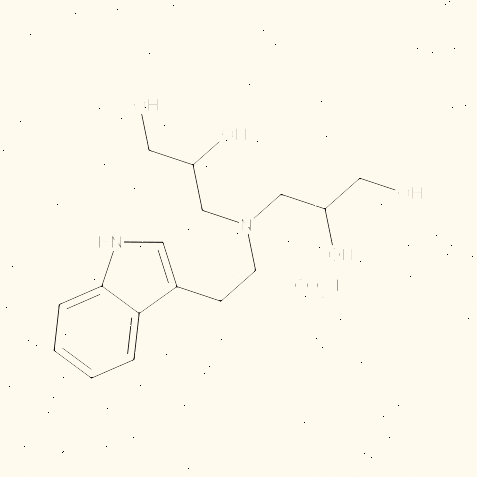 O=C(O)[C@H](Cc1c[nH]c2ccccc12)N(CC(O)CO)CC(O)CO